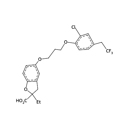 CCC1(C(=O)O)Cc2cc(OCCCOc3ccc(CC(F)(F)F)cc3Cl)ccc2O1